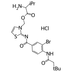 CC(C)C(N)C(=O)OCn1ccs/c1=N\C(=O)c1ccc(NC(=O)CC(C)(C)C)c(Br)c1.Cl